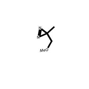 COCC1(C)N=N1